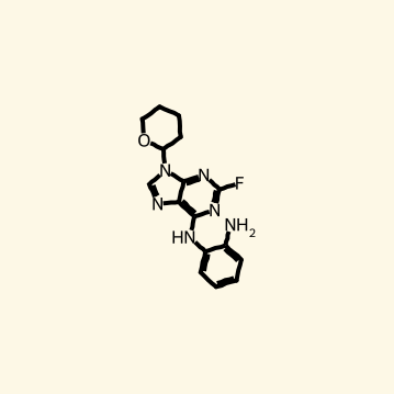 Nc1ccccc1Nc1nc(F)nc2c1ncn2C1CCCCO1